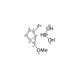 COc1c2ccc(F)c1-2.OBO